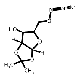 CC1(C)O[C@H]2O[C@H](CON=[N+]=[N-])[C@H](O)[C@H]2O1